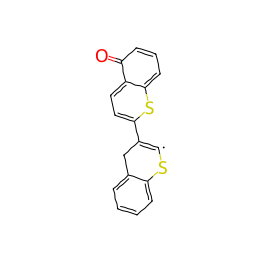 O=c1cccc2sc(C3=[C]Sc4ccccc4C3)ccc1-2